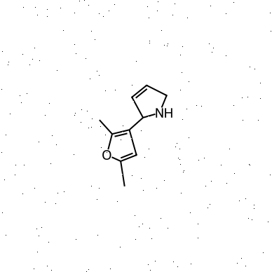 Cc1cc(C2C=CCN2)c(C)o1